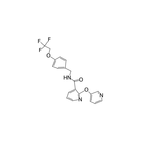 O=C(NCc1ccc(OCC(F)(F)F)cc1)c1cccnc1Oc1cccnc1